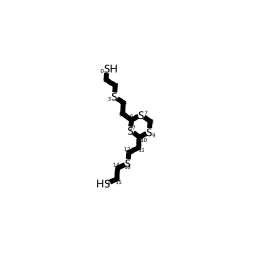 SCCSCCC1SCSC(CCSCCS)S1